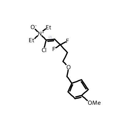 CC[N+]([O-])(CC)/C(Cl)=C/C(F)(F)CCOCc1ccc(OC)cc1